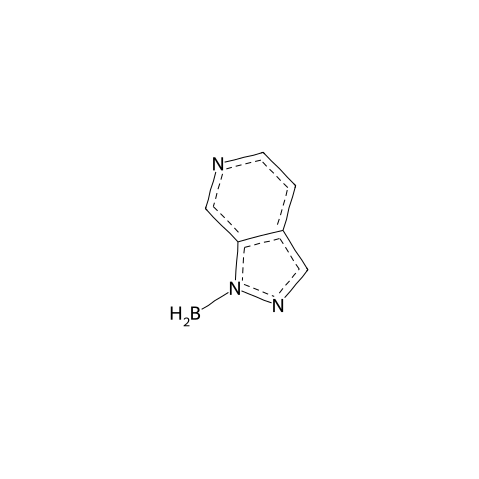 Bn1ncc2ccncc21